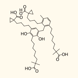 Cc1ccc(CCCCCCC(C)(C)C(=O)O)c(Cc2cc(CCCCC3(C(=O)O)CC3)c(O)c(CCCCCCC(C)(C)C(=O)O)c2O)c1CCCCC1(C(=O)O)CC1